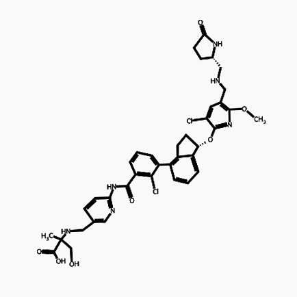 COc1nc(O[C@H]2CCc3c(-c4cccc(C(=O)Nc5ccc(CNC(C)(CO)C(=O)O)cn5)c4Cl)cccc32)c(Cl)cc1CNC[C@@H]1CCC(=O)N1